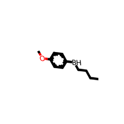 CCCCBc1ccc(OC)cc1